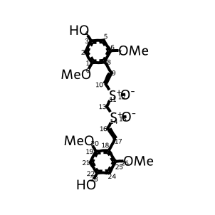 COc1cc(O)cc(OC)c1/C=C/[S+]([O-])C[S+]([O-])/C=C/c1c(OC)cc(O)cc1OC